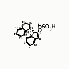 O=S(=O)(O)O.c1ccc2sccc2c1.c1ccc2sccc2c1